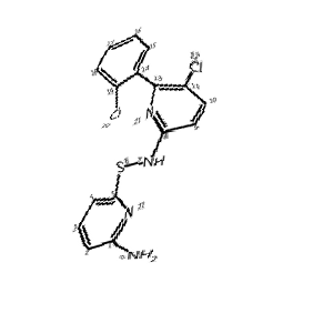 Nc1cccc(SNc2ccc(Cl)c(-c3ccccc3Cl)n2)n1